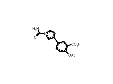 CC(=O)Oc1ccc(-c2cn(C(N)=O)cn2)cc1C(=O)O